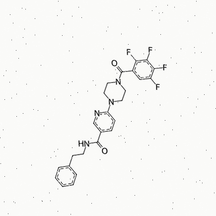 O=C(NCCc1ccccc1)c1ccc(N2CCN(C(=O)c3cc(F)c(F)c(F)c3F)CC2)nc1